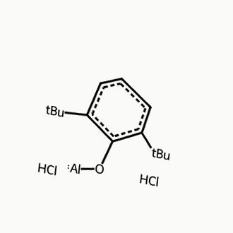 CC(C)(C)c1cccc(C(C)(C)C)c1[O][Al].Cl.Cl